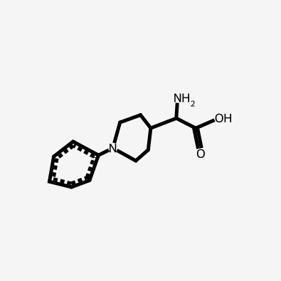 NC(C(=O)O)C1CCN(c2ccccc2)CC1